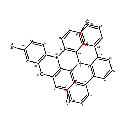 Clc1cc2c3c(c1)N(c1c(-c4ccccc4)cccc1-c1ccccc1)c1cc(Br)ccc1B3c1ccc(Br)cc1O2